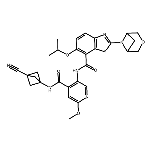 COc1cc(C(=O)NC23CC(C#N)(C2)C3)c(NC(=O)c2c(OC(C)C)ccc3nc(N4C5COCC4C5)sc23)cn1